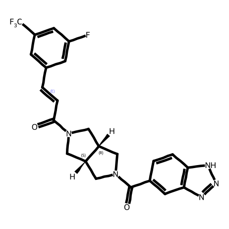 O=C(/C=C/c1cc(F)cc(C(F)(F)F)c1)N1C[C@@H]2CN(C(=O)c3ccc4[nH]nnc4c3)C[C@@H]2C1